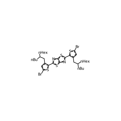 CCCCCCC(CCCC)Cc1cc(Br)sc1-c1nc2sc(-c3sc(Br)cc3CC(CCCC)CCCCCC)nc2s1